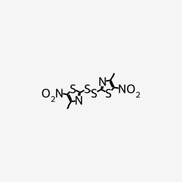 Cc1nc(SSc2nc(C)c([N+](=O)[O-])s2)sc1[N+](=O)[O-]